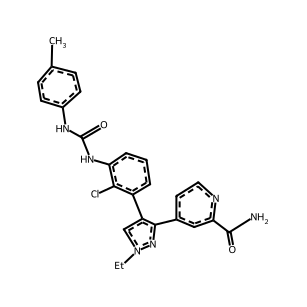 CCn1cc(-c2cccc(NC(=O)Nc3ccc(C)cc3)c2Cl)c(-c2ccnc(C(N)=O)c2)n1